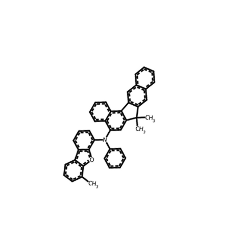 Cc1cccc2c1oc1c(N(c3ccccc3)c3cc4c(c5ccccc35)-c3cc5ccccc5cc3C4(C)C)cccc12